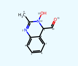 CC1=Nc2ccccc2C(C=O)N1O